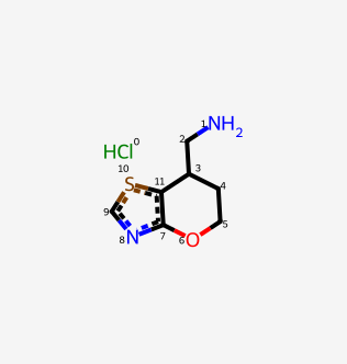 Cl.NCC1CCOc2ncsc21